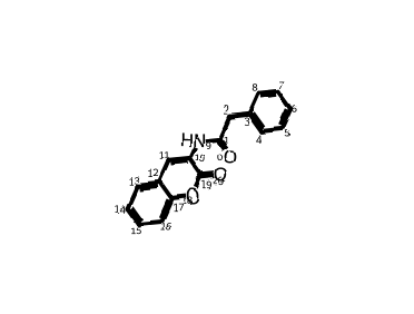 O=C(Cc1ccccc1)Nc1cc2ccccc2oc1=O